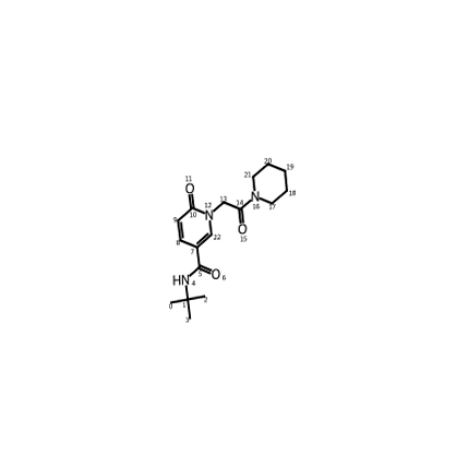 CC(C)(C)NC(=O)c1ccc(=O)n(CC(=O)N2CCCCC2)c1